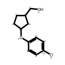 OCC1CCC(Oc2[c]cc(Cl)cc2)C1